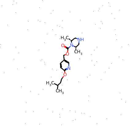 CC(C)CCOc1ccc(COC(=O)N2[C@H](C)CNC[C@@H]2C)cn1